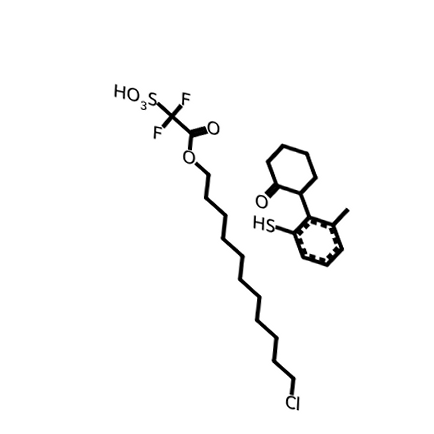 Cc1cccc(S)c1C1CCCCC1=O.O=C(OCCCCCCCCCCCCl)C(F)(F)S(=O)(=O)O